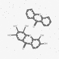 O=c1c2ccc(O)c(O)c2oc2c(O)c(O)c(O)cc12.O=c1c2ccccc2oc2ccccc12